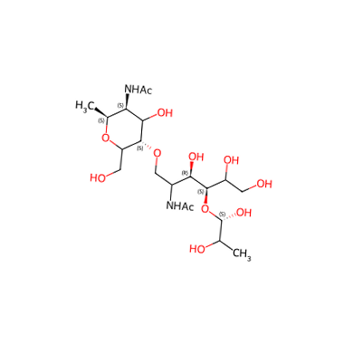 CC(=O)NC(CO[C@@H]1C(CO)O[C@@H](C)[C@@H](NC(C)=O)C1O)[C@@H](O)[C@H](O[C@H](O)C(C)O)C(O)CO